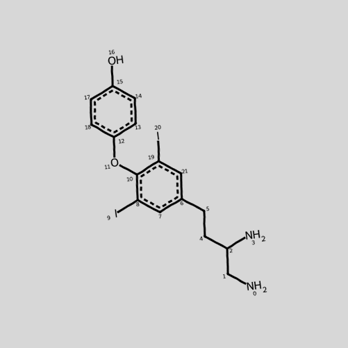 NCC(N)CCc1cc(I)c(Oc2ccc(O)cc2)c(I)c1